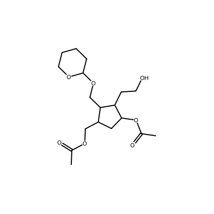 CC(=O)OCC1CC(OC(C)=O)C(CCO)C1COC1CCCCO1